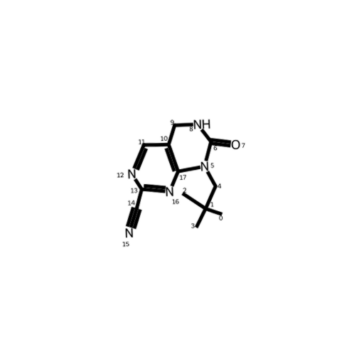 CC(C)(C)CN1C(=O)NCc2cnc(C#N)nc21